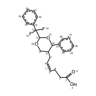 O=C(O)CC/C=C\CC1COC(C(F)(F)c2ccccc2)OC1c1cccnc1